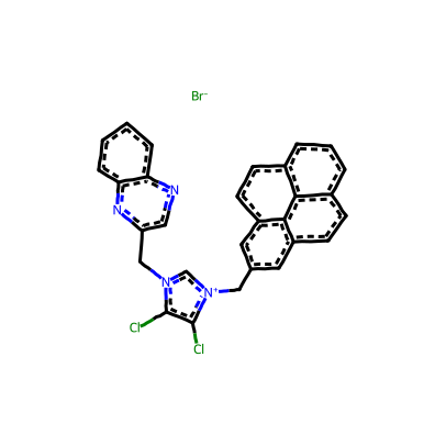 Clc1c(Cl)[n+](Cc2cc3ccc4cccc5ccc(c2)c3c45)cn1Cc1cnc2ccccc2n1.[Br-]